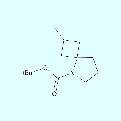 CC(C)(C)OC(=O)N1CCCC12CC(I)C2